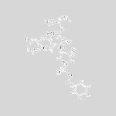 CC(C)C[C@H](NC(=O)OC(C)(C)C)C(=O)NC1CN(C(=O)OCc2ccccc2)CC1=O